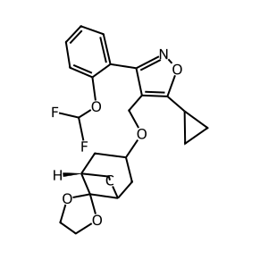 FC(F)Oc1ccccc1-c1noc(C2CC2)c1COC1CC2CC[C@@H](C1)C21OCCO1